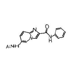 CC(=O)Nc1ccc2nc(C(=O)Nc3ccccc3)cn2c1